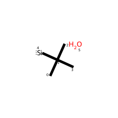 CC(C)(C)[Si].O